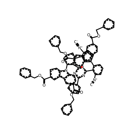 [C-]#[N+]c1ccccc1-c1cccc(-n2c3ccc(C(=O)OCc4ccccc4)cc3c3cc(C(=O)OCc4ccccc4)ccc32)c1-c1nc(-c2ccccc2)nc(-c2c([N+]#[C-])cccc2-n2c3ccc(C(=O)OCc4ccccc4)cc3c3cc(C(=O)OCc4ccccc4)ccc32)n1